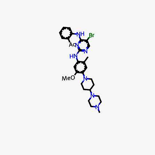 COc1cc(Nc2ncc(Br)c(Nc3ccccc3C(C)=O)n2)c(C)cc1N1CCC(N2CCN(C)CC2)CC1